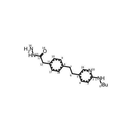 CCC(C)Nc1ccc(CCc2ccc(CC(=O)NN)cc2)cn1